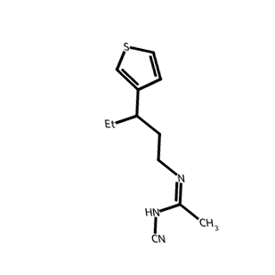 CCC(CCN=C(C)NC#N)c1ccsc1